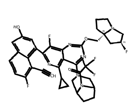 C#Cc1c(F)ccc2cc(O)cc(-c3nc(C4CC4)c4c(N5CC6CCC(C5)N6C(=O)C(F)(F)F)nc(OC[C@]56CCCN5C[C@@H](F)C6)nc4c3F)c12